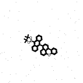 CC1(C)OB(c2c3ccccc3c(-c3ccc4c5c(cccc35)Oc3ccccc3-4)c3ccccc23)OC1(C)C